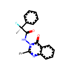 CC(C)c1nc2ccccc2c(=O)n1NC(=O)[C@@](C)(F)c1ccccc1